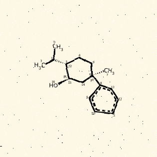 CC(C)[C@@H]1CC[C@@](C)(c2cc[c]cc2)C[C@H]1O